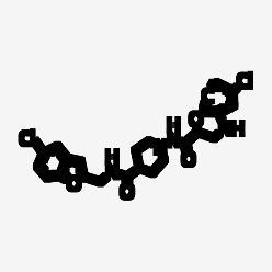 O=C(NCc1cc2cc(Cl)ccc2o1)C1CCN(NC(=O)C2CNc3cc(Cl)ccc3O2)CC1